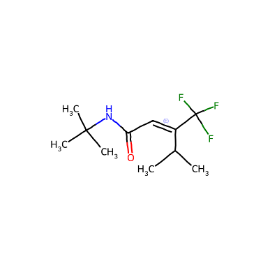 CC(C)/C(=C\C(=O)NC(C)(C)C)C(F)(F)F